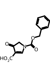 O=C(O)C1=CN(C(=O)OCc2ccccc2)CC1=O